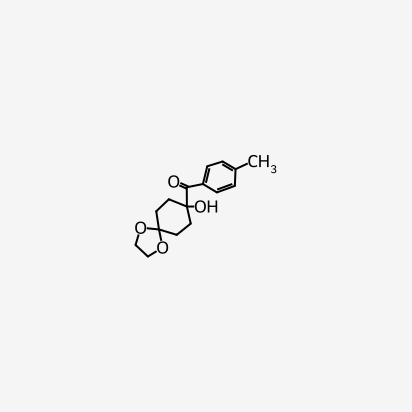 Cc1ccc(C(=O)C2(O)CCC3(CC2)OCCO3)cc1